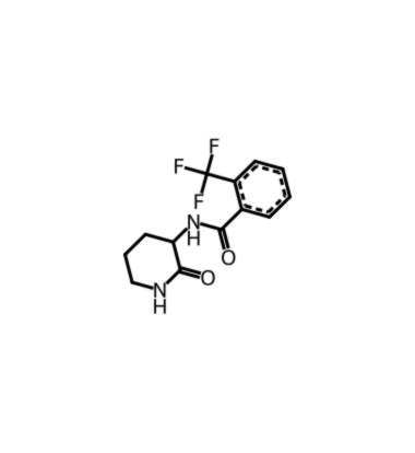 O=C(NC1CCCNC1=O)c1ccccc1C(F)(F)F